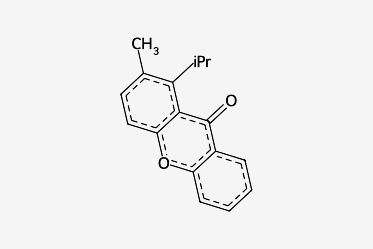 Cc1ccc2oc3ccccc3c(=O)c2c1C(C)C